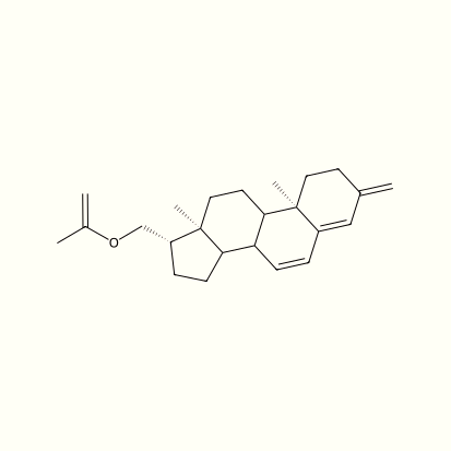 C=C1C=C2C=CC3C(CC[C@@]4(C)C3CC[C@@H]4COC(=C)C)[C@@]2(C)CC1